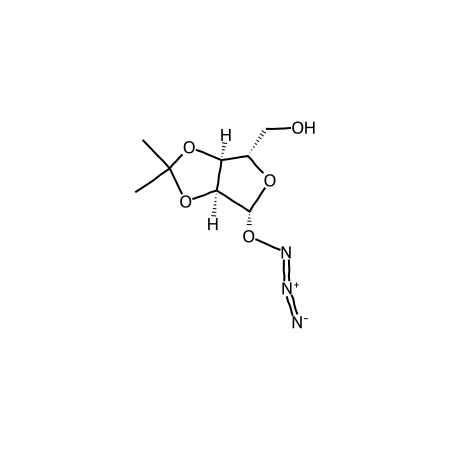 CC1(C)O[C@@H]2[C@@H](ON=[N+]=[N-])O[C@@H](CO)[C@@H]2O1